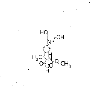 CCOC(=O)NC(C(=O)O)C(C)c1ccc(N(CCO)CCO)cc1